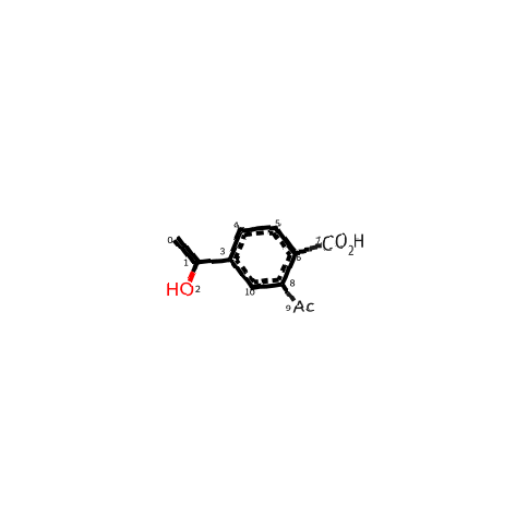 C=C(O)c1ccc(C(=O)O)c(C(C)=O)c1